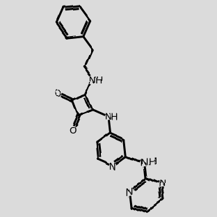 O=c1c(NCCc2ccccc2)c(Nc2ccnc(Nc3ncccn3)c2)c1=O